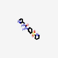 O=C(NCc1cccnc1)Nc1ccc(S(=O)(=O)c2ccccn2)cc1